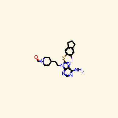 Nc1ncnc2c1nc(Sc1cc3c(cc1I)CCC3)n2CCC1CCN(C=O)CC1